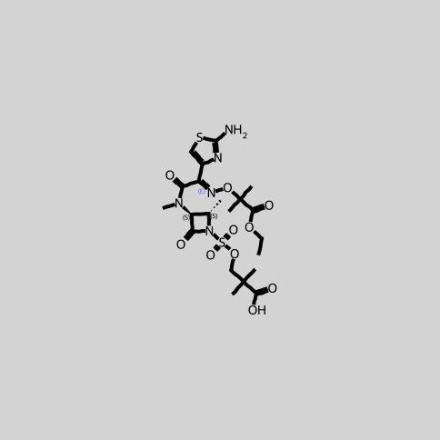 CCOC(=O)C(C)(C)O/N=C(/C(=O)N(C)[C@@H]1C(=O)N(S(=O)(=O)OCC(C)(C)C(=O)O)[C@H]1C)c1csc(N)n1